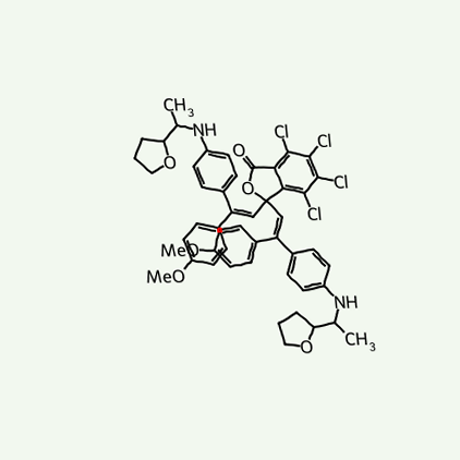 COc1ccc(C(=CC2(C=C(c3ccc(NC(C)C4CCCO4)cc3)c3ccc(OC)cc3)OC(=O)c3c(Cl)c(Cl)c(Cl)c(Cl)c32)c2ccc(NC(C)C3CCCO3)cc2)cc1